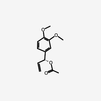 C=C[C@@H](OC(C)=O)c1ccc(OC)c(OC)c1